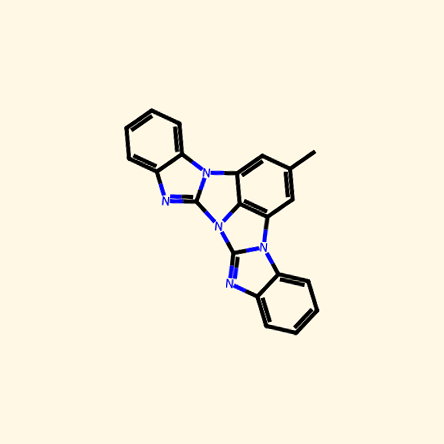 Cc1cc2c3c(c1)n1c4ccccc4nc1n3c1nc3ccccc3n21